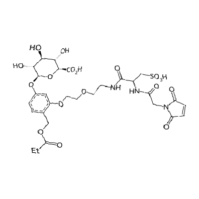 CCC(=O)OCc1ccc(O[C@@H]2O[C@H](C(=O)O)[C@@H](O)[C@H](O)[C@H]2O)cc1OCCOCCNC(=O)C(CS(=O)(=O)O)NC(=O)CN1C(=O)C=CC1=O